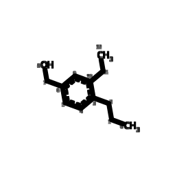 CCCc1ccc(CO)cc1CC